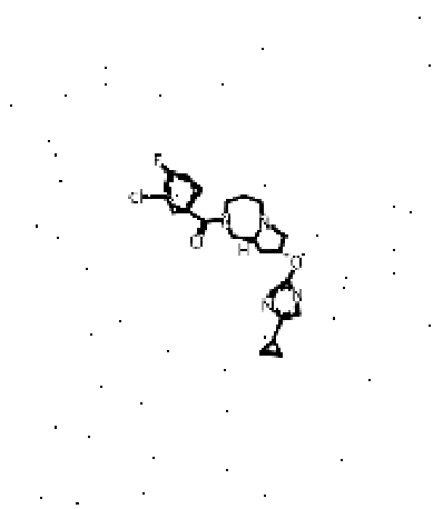 O=C(c1ccc(F)c(Cl)c1)N1CCCN2C[C@H](Oc3cnc(C4CC4)cn3)C[C@H]2C1